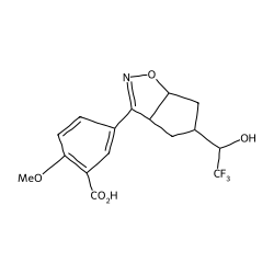 COc1ccc(C2=NOC3CC(C(O)C(F)(F)F)CC23)cc1C(=O)O